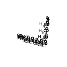 C[n+]1c(Cl)ccc2ccccc21.C[n+]1c(Cl)ccc2ccccc21.C[n+]1c(Cl)ccc2ccccc21.C[n+]1c(Cl)ccc2ccccc21.C[n+]1c(Cl)ccc2ccccc21.C[n+]1c(Cl)ccc2ccccc21.C[n+]1c(Cl)ccc2ccccc21.C[n+]1c(Cl)ccc2ccccc21.[O-]B([O-])F.[O-]B([O-])F.[O-]B([O-])F.[O-]B([O-])F